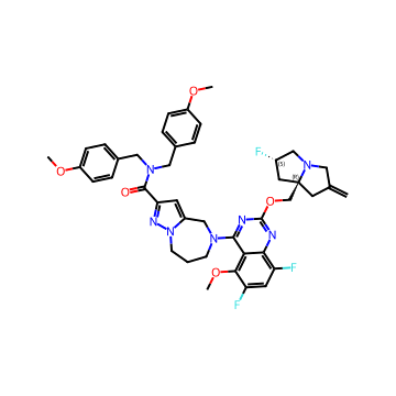 C=C1CN2C[C@@H](F)C[C@@]2(COc2nc(N3CCCn4nc(C(=O)N(Cc5ccc(OC)cc5)Cc5ccc(OC)cc5)cc4C3)c3c(OC)c(F)cc(F)c3n2)C1